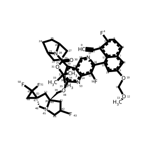 C#Cc1c(F)ccc2cc(OCOC)cc(-c3ncc4c(N5CC6CCC(C5)N6C(=O)OC(C)(C)C)nc(OC[C@@]56CC(F)CN5C[C@@]5(CC5(F)F)C6)nc4c3F)c12